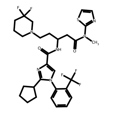 CN(C(=O)CC(CCN1CCCC(F)(F)C1)NC(=O)c1cn(-c2ccccc2C(F)(F)F)c(C2CCCC2)n1)c1nccs1